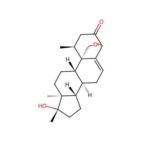 C[C@H]1CC(=O)CC2=CC[C@@H]3[C@H](CC[C@@]4(C)[C@H]3CC[C@]4(C)O)[C@]21CO